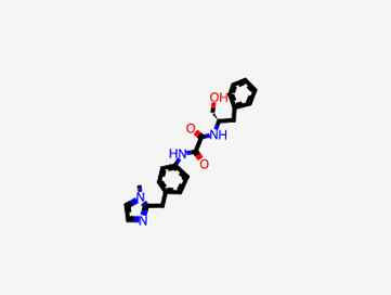 Cn1ccnc1Cc1ccc(NC(=O)C(=O)N[C@H](CO)Cc2ccccc2)cc1